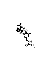 CC(C)C(=O)[C@H](CCCNC(N)=O)NC(=O)C1(C(=O)C(C)C)CCC1